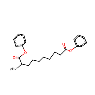 CCCCCCCCCC(CCCCCCCC(=O)Oc1ccccc1)C(=O)Oc1ccccc1